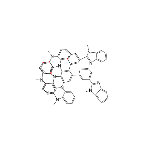 CN1c2ccccc2N(c2cc(-c3cccc(-c4nc5ccccc5n4C)c3)c(-c3cccc(-c4nc5ccccc5n4C)c3)c(N3c4ccccc4N(C)c4ccccc43)c2N2c3ccccc3N(C)c3ccccc32)c2ccccc21